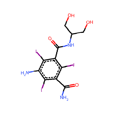 NC(=O)c1c(I)c(N)c(I)c(C(=O)NC(CO)CO)c1I